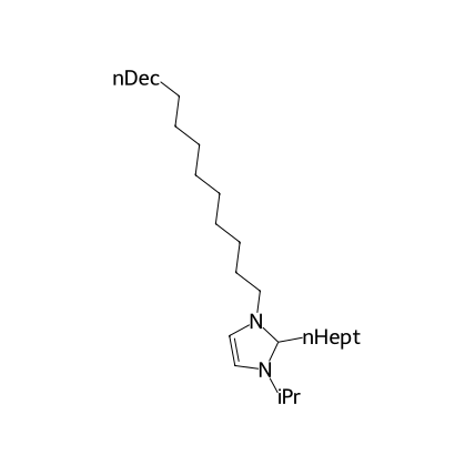 CCCCCCCCCCCCCCCCCCCN1C=CN(C(C)C)C1CCCCCCC